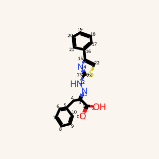 O=C(O)/C(Cc1ccccc1)=N/Nc1nc(-c2ccccc2)cs1